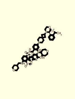 CC(C)c1ccccc1[C@@H]1COCCN1C1CC2(CCN(c3ccc(C(=O)NS(=O)(=O)c4ccc(NCC5CCOCC5)c([N+](=O)[O-])c4)c(N4c5cc6cc[nH]c6nc5O[C@@H]5CCOCC[C@H]54)c3)CC2)C1